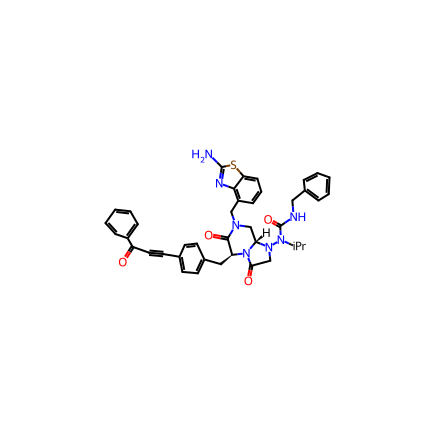 CC(C)N(C(=O)NCc1ccccc1)N1CC(=O)N2[C@@H](Cc3ccc(C#CC(=O)c4ccccc4)cc3)C(=O)N(Cc3cccc4sc(N)nc34)C[C@@H]21